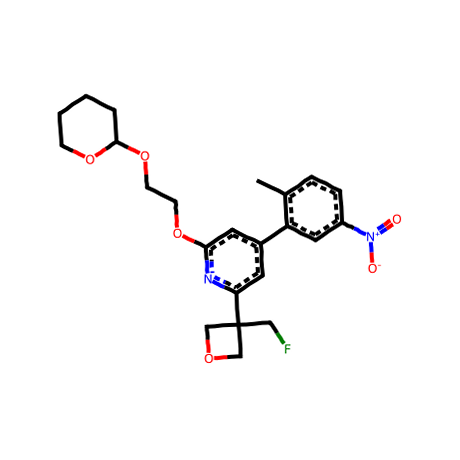 Cc1ccc([N+](=O)[O-])cc1-c1cc(OCCOC2CCCCO2)nc(C2(CF)COC2)c1